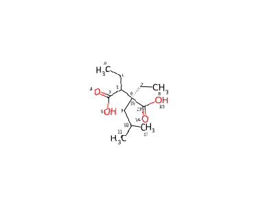 CCC(C(=O)O)[C@](CC)(CC(C)C)C(=O)O